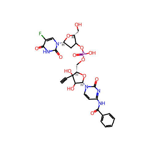 C#CC1(O)C(O)[C@@H](n2ccc(NC(=O)c3ccccc3)nc2=O)O[C@H]1COP(=O)(O)OC1C[C@H](n2cc(F)c(=O)[nH]c2=O)O[C@@H]1CO